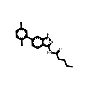 CCCCC(=O)Nc1n[nH]c2cc(-c3cc(C)ccc3C)ccc12